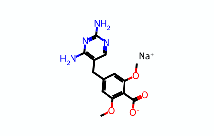 COc1cc(Cc2cnc(N)nc2N)cc(OC)c1C(=O)[O-].[Na+]